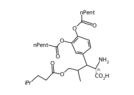 CCCCCC(=O)Oc1ccc(C(C(C)COC(=O)CCC(C)C)[C@H](N)C(=O)O)cc1OC(=O)CCCCC